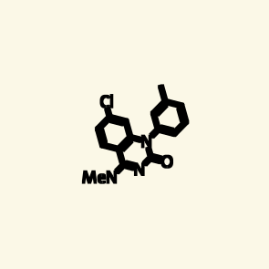 CNc1nc(=O)n(-c2cccc(C)c2)c2cc(Cl)ccc12